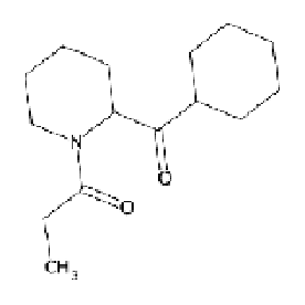 CCC(=O)N1CCCCC1C(=O)C1CCCCC1